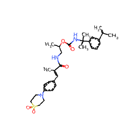 C=C(C)c1cccc(C(C)(C)NC(=O)OC(C)CNC(=O)/C(C#N)=C/c2ccc(N3CCS(=O)(=O)CC3)cc2)c1